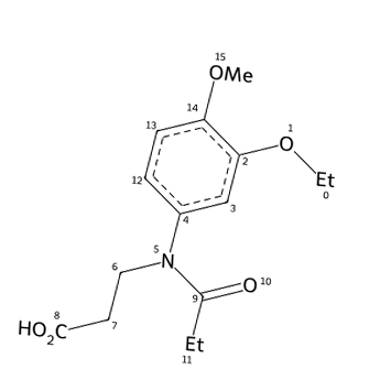 CCOc1cc(N(CCC(=O)O)C(=O)CC)ccc1OC